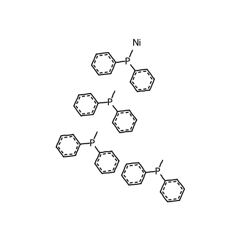 CP(c1ccccc1)c1ccccc1.CP(c1ccccc1)c1ccccc1.CP(c1ccccc1)c1ccccc1.CP(c1ccccc1)c1ccccc1.[Ni]